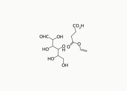 C=COC(=O)CCC(=O)O.O=CC(O)C(O)C(O)C(O)CO